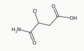 NC(=O)C(Cl)CC(=O)O